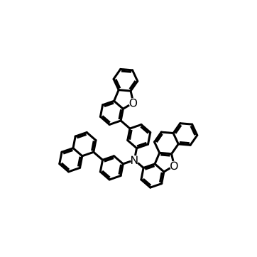 c1cc(-c2cccc3ccccc23)cc(N(c2cccc(-c3cccc4c3oc3ccccc34)c2)c2cccc3oc4c5ccccc5ccc4c23)c1